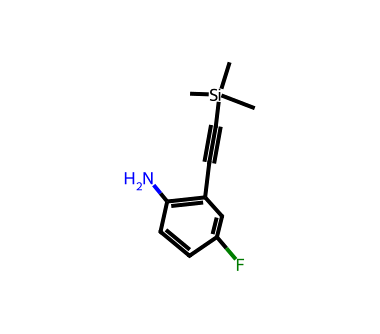 C[Si](C)(C)C#Cc1cc(F)ccc1N